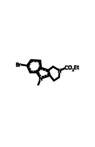 CCOC(=O)N1CCc2c(c3ccc(Br)cc3n2C)C1